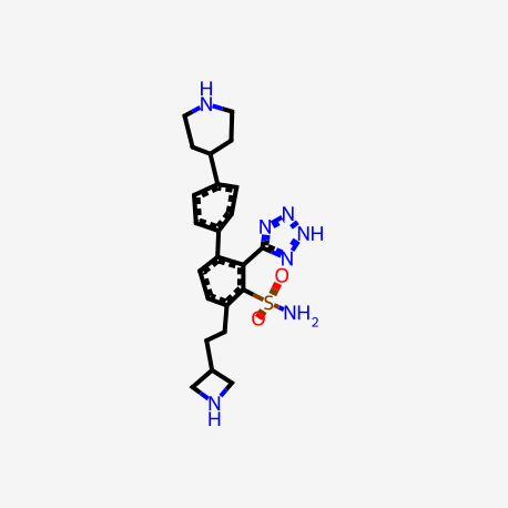 NS(=O)(=O)c1c(CCC2CNC2)ccc(-c2ccc(C3CCNCC3)cc2)c1-c1nn[nH]n1